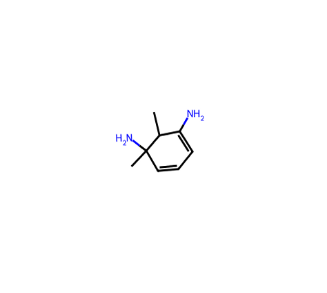 CC1C(N)=CC=CC1(C)N